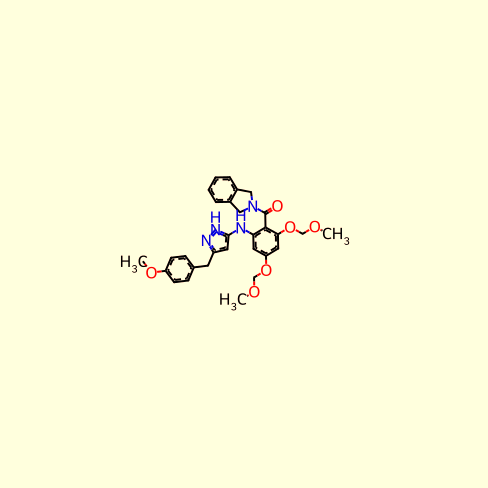 COCOc1cc(Nc2cc(Cc3ccc(OC)cc3)n[nH]2)c(C(=O)N2Cc3ccccc3C2)c(OCOC)c1